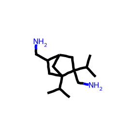 CC(C)C1(CN)CC2CC1(C(C)C)CC2CN